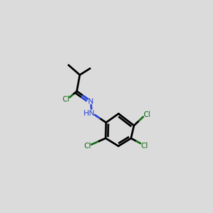 CC(C)C(Cl)=NNc1cc(Cl)c(Cl)cc1Cl